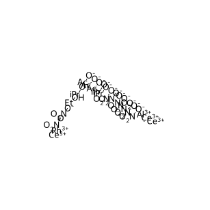 CC(=O)[O-].CC(=O)[O-].CC(=O)[O-].CC(C)[O-].CC(C)[O-].CC(C)[O-].CCO.O=[N+]([O-])[O-].O=[N+]([O-])[O-].O=[N+]([O-])[O-].O=[N+]([O-])[O-].O=[N+]([O-])[O-].O=[N+]([O-])[O-].O=[N+]([O-])[O-].O=[N+]([O-])[O-].O=[N+]([O-])[O-].[Al+3].[Ce+3].[Ce+3].[Ce+3].[Rh+3]